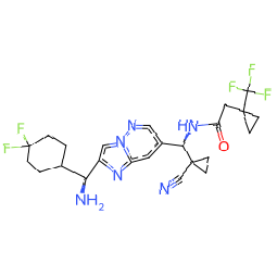 N#CC1([C@H](NC(=O)CC2(C(F)(F)F)CC2)c2cnn3cc([C@@H](N)C4CCC(F)(F)CC4)nc3c2)CC1